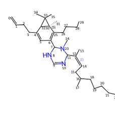 C=CCCC1=CC(C2NC=NC(/C(C)=C\CC(C)CCCCC)N2C)=C(CCCC)[C@@]2(C)C1C2(C)C